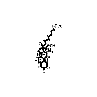 CCCCCCCCCCCCCCCCCC(=O)[C@]1(C(=O)CO)CC[C@H]2[C@@H]3CCC4=CC(=O)CC[C@]4(C)[C@H]3CC[C@@]21C